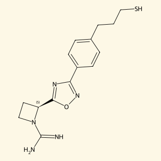 N=C(N)N1CC[C@H]1c1nc(-c2ccc(CCCS)cc2)no1